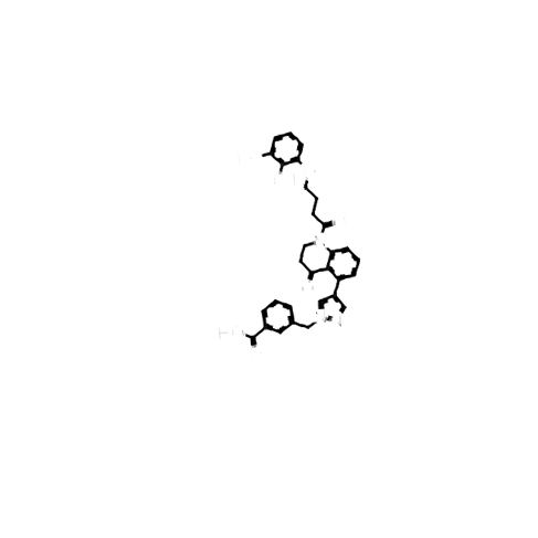 Cc1cccc(OCCCC(=O)N2CCC(=O)c3c(-c4cnn(Cc5cccc(C(=O)O)c5)c4)cccc32)c1C